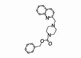 O=C(OCc1ccccc1)N1CCN(Cc2ccc3ccccc3n2)CC1